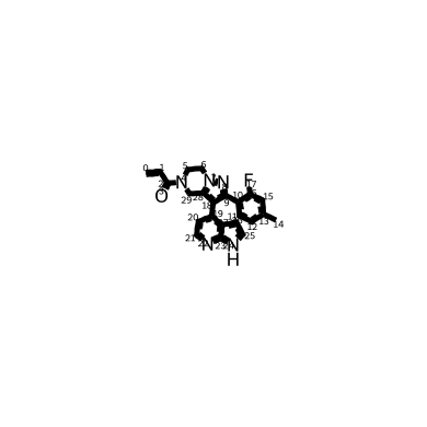 C=CC(=O)N1CCn2nc(-c3ccc(C)cc3F)c(-c3ccnc4[nH]ccc34)c2C1